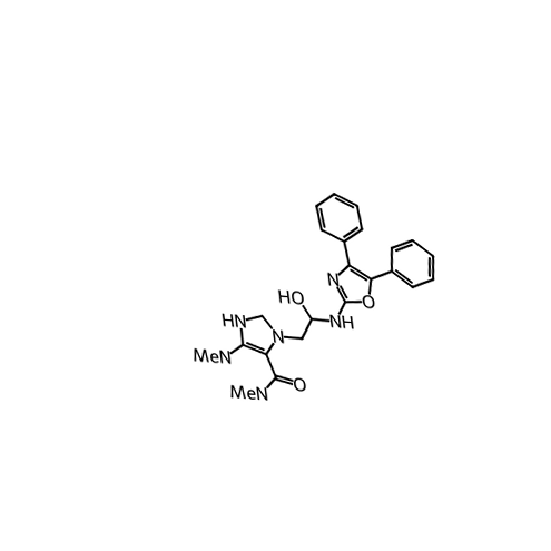 CNC(=O)C1=C(NC)NCN1CC(O)Nc1nc(-c2ccccc2)c(-c2ccccc2)o1